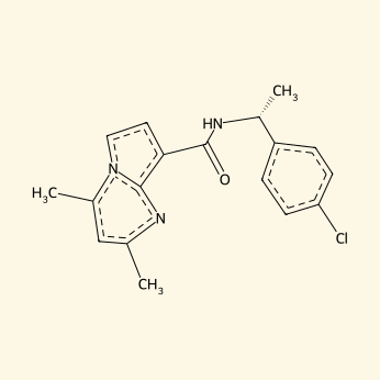 Cc1cc(C)n2ccc(C(=O)N[C@H](C)c3ccc(Cl)cc3)c2n1